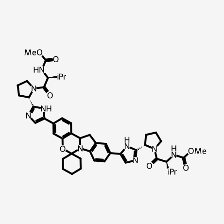 COC(=O)N[C@H](C(=O)N1CCC[C@H]1c1ncc(-c2ccc3c(c2)CC2c4ccc(-c5cnc([C@@H]6CCCN6C(=O)[C@@H](NC(=O)OC)C(C)C)[nH]5)cc4OC4(CCCCC4)N32)[nH]1)C(C)C